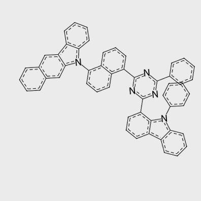 c1ccc(-c2nc(-c3cccc4c(-n5c6ccccc6c6cc7ccccc7cc65)cccc34)nc(-c3cccc4c5ccccc5n(-c5ccccc5)c34)n2)cc1